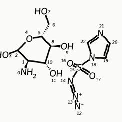 N[C@H]1C(O)O[C@H](CO)[C@@H](O)[C@@H]1O.[N-]=[N+]=NS(=O)(=O)n1ccnc1